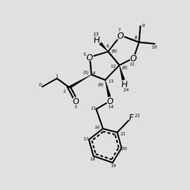 CCC(=O)[C@H]1O[C@@H]2OC(C)(C)O[C@@H]2[C@H]1OCc1ccccc1F